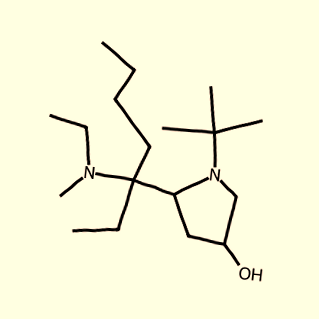 CCCCC(CC)(C1CC(O)CN1C(C)(C)C)N(C)CC